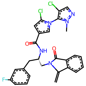 C=C1c2ccccc2C(=O)N1C[C@H](Cc1cccc(F)c1)NC(=O)c1cc(Cl)n(-c2c(Cl)cnn2C)c1